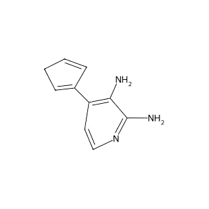 Nc1nccc(C2=CCC=C2)c1N